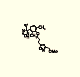 COCc1cc(CCCOc2c(C)ccc(C3(C4CC4)N=CON3)c2C)on1